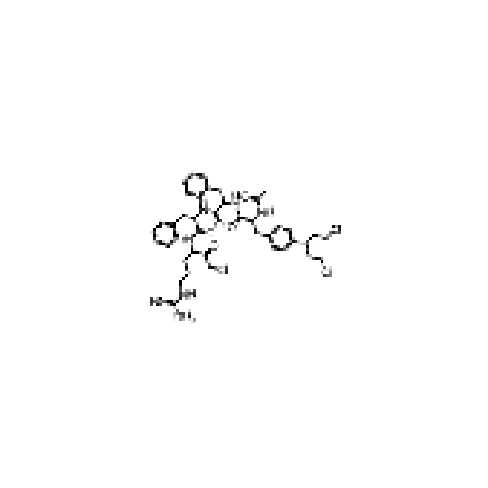 CC(=O)NC(Cc1ccc(N(CCCl)CCCl)cc1)C(=O)NC(Cc1ccccc1)C(=O)NC(Cc1ccccc1)C(=O)NC(CCCNC(=N)N)C(=O)CCl